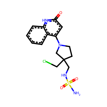 NS(=O)(=O)NCC1(CCl)CCN(c2cc(=O)[nH]c3ccccc23)C1